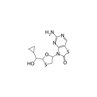 Nc1ncc2sc(=O)n(C3CSC(C(O)C4CC4)O3)c2n1